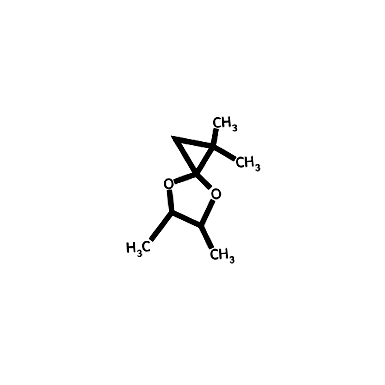 CC1OC2(CC2(C)C)OC1C